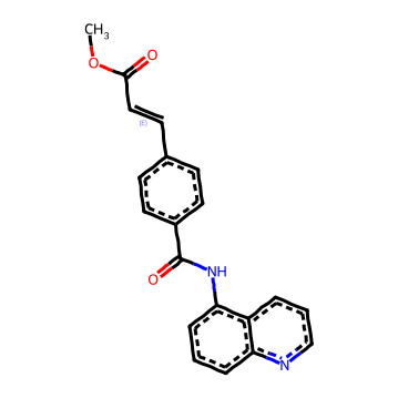 COC(=O)/C=C/c1ccc(C(=O)Nc2cccc3ncccc23)cc1